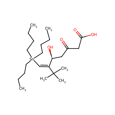 CCC[CH2][Sn]([CH]=C([C@@H](O)CC(=O)CC(=O)O)C(C)(C)C)([CH2]CCC)[CH2]CCC